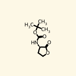 CC(C)(C)OC(=O)N[C@@H]1CCOC1=O